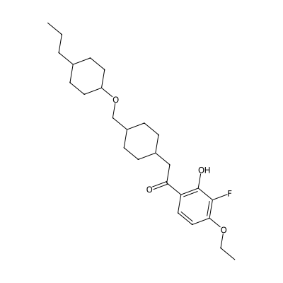 CCCC1CCC(OCC2CCC(CC(=O)c3ccc(OCC)c(F)c3O)CC2)CC1